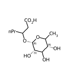 CCCC(CC(=O)O)O[C@@H]1OC(C)[C@H](O)C(O)[C@@H]1O